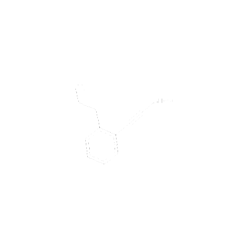 CCCCCCCC#Cc1ccccc1CCC(=O)O